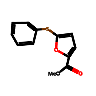 COC(=O)c1ccc(Sc2ccccc2)o1